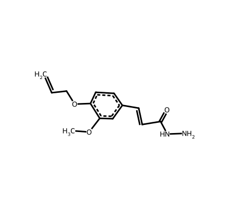 C=CCOc1ccc(C=CC(=O)NN)cc1OC